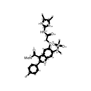 CNC(=O)c1c(-c2ccc(F)cc2)oc2cc(N(C)S(C)(=O)=O)c(OCC(=O)Nc3nc(C)c(C)s3)cc12